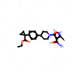 CCOC(=O)C1(c2ccc(C3CCN(c4onc(C)c4C(N)=O)CC3)cc2)CC1